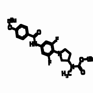 CCCCOc1ccc(C(=O)Nc2cc(F)c(N3CCC(N(C)C(=O)OC(C)(C)C)C3)c(F)c2)cc1